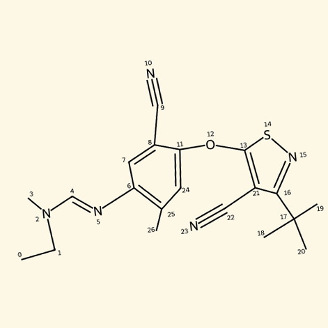 CCN(C)C=Nc1cc(C#N)c(Oc2snc(C(C)(C)C)c2C#N)cc1C